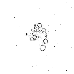 CO[C@@H]([C@@H]1CCCN1)[C@@H](C)C(=O)N[C@H](C)[C@@H](OC1CCCC(COCc2ccc(C3CCCCCCC3)cc2)O1)c1ccccc1